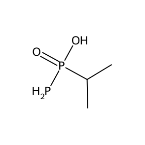 CC(C)P(=O)(O)P